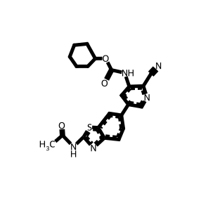 CC(=O)Nc1nc2ccc(-c3cnc(C#N)c(NC(=O)OC4CCCCC4)c3)cc2s1